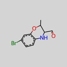 CC1Oc2cc(Br)ccc2NC1C=O